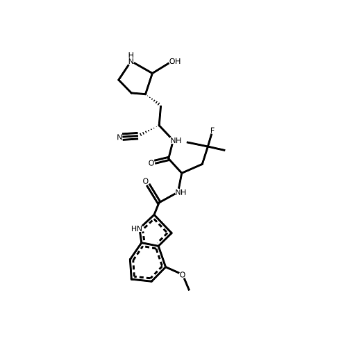 COc1cccc2[nH]c(C(=O)NC(CC(C)(C)F)C(=O)N[C@H](C#N)C[C@@H]3CCNC3O)cc12